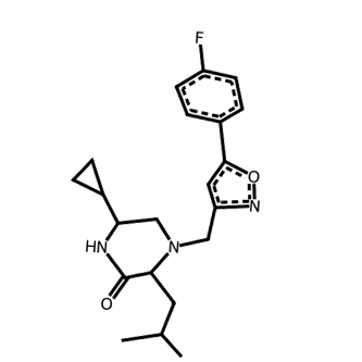 CC(C)CC1C(=O)NC(C2CC2)CN1Cc1cc(-c2ccc(F)cc2)on1